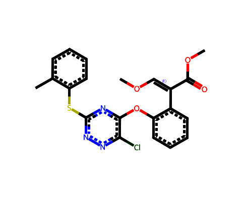 CO/C=C(/C(=O)OC)c1ccccc1Oc1nc(Sc2ccccc2C)nnc1Cl